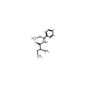 CCC(N)C(=O)N[C@@H](CC)c1ccccc1